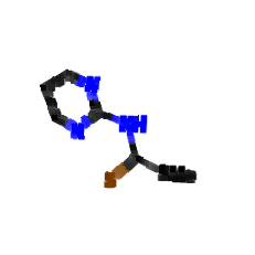 CSC(=S)Nc1ncccn1